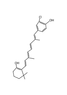 CC(/C=C/C1=C(O)CCCC1(C)C)=C\C=C\C(C)=C\c1ccc(O)c(Cl)c1